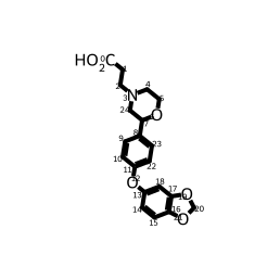 O=C(O)CCN1CCOC(c2ccc(Oc3ccc4c(c3)OCO4)cc2)C1